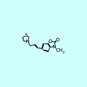 Cn1c(=O)oc2cc(C=CCN3CCSC3)ccc21